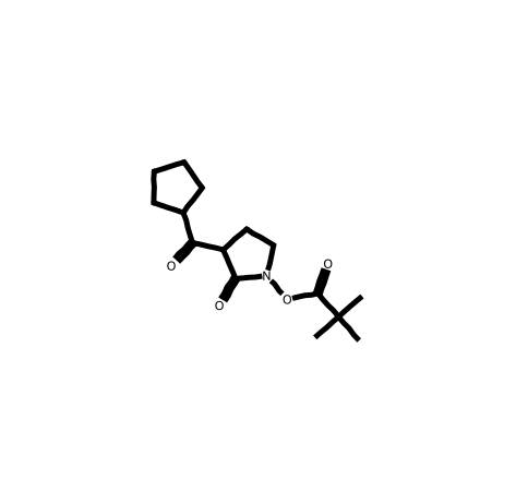 CC(C)(C)C(=O)ON1CCC(C(=O)C2CCCC2)C1=O